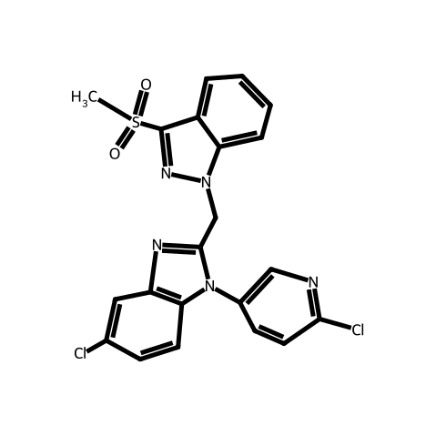 CS(=O)(=O)c1nn(Cc2nc3cc(Cl)ccc3n2-c2ccc(Cl)nc2)c2ccccc12